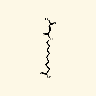 O=C(O)C=CC(=O)NCCCCCCCCC(=O)O